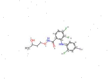 CC(O)CCONC(=O)c1ccc(F)c(F)c1Nc1ccc(I)cc1F